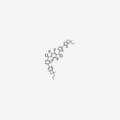 CCCC1(C)Cc2cc(-c3ccc(C(=O)c4c(F)c(F)c(C(=O)c5ccc(-c6cc7c(s6)C(C)(CC)C7)s5)c(F)c4F)s3)sc21